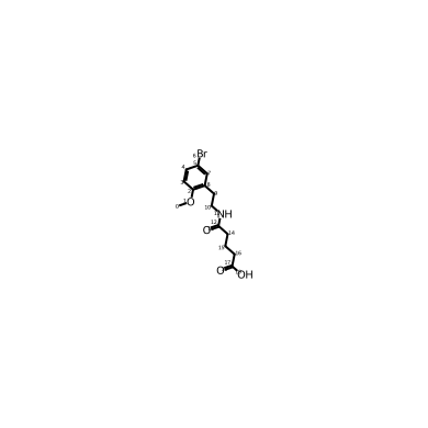 COc1ccc(Br)cc1CCNC(=O)CCCC(=O)O